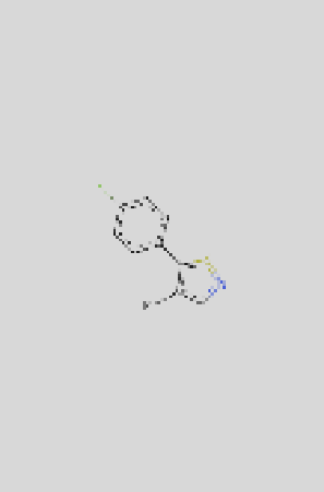 CC(C)c1cnsc1-c1ccc(F)cc1